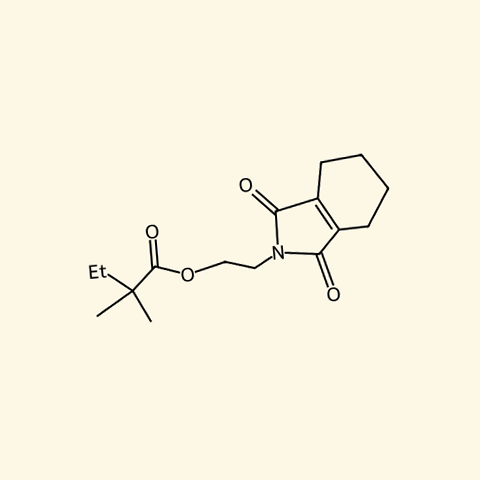 CCC(C)(C)C(=O)OCCN1C(=O)C2=C(CCCC2)C1=O